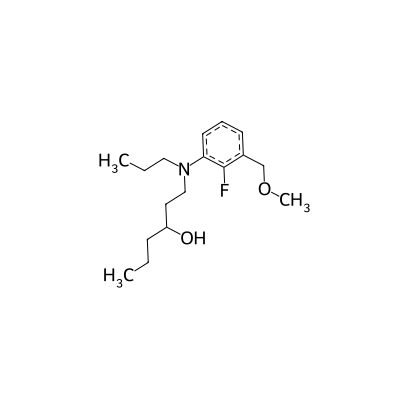 CCCC(O)CCN(CCC)c1cccc(COC)c1F